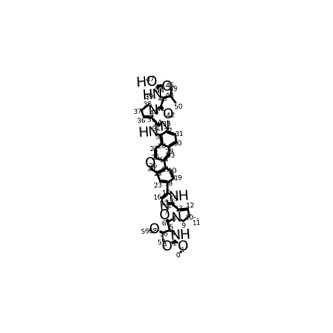 COC(=O)NC(C(=O)N1C[C@@H](C)C=C1c1ncc(-c2ccc3c(c2)COc2cc4c(ccc5nc(C6=CC[C@H](C)N6C(=O)[C@@H](NC(=O)O)C(C)C)[nH]c54)cc2-3)[nH]1)[C@@H](C)OC